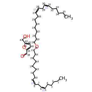 CCCCC/C=C\C/C=C\CCCCCCCCOCCCCCCCC/C=C\C/C=C\CCCCC.O=Cc1ccc(CO)o1